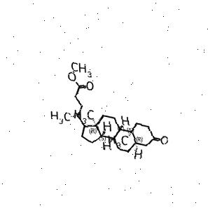 COC(=O)CC[C@@H](C)C1CC[C@H]2[C@@H]3CC[C@@H]4CC(=O)CC[C@]4(C)[C@H]3CC[C@]12C